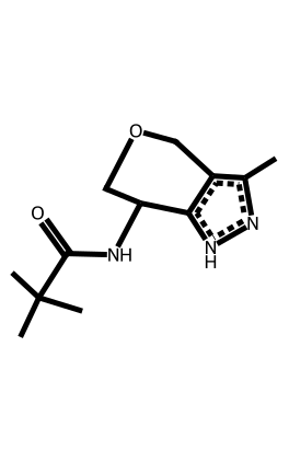 Cc1n[nH]c2c1COCC2NC(=O)C(C)(C)C